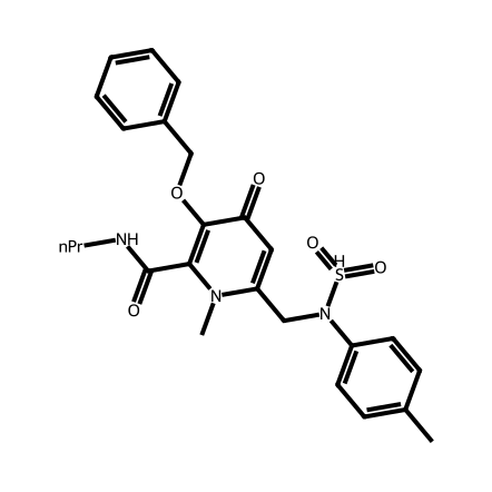 CCCNC(=O)c1c(OCc2ccccc2)c(=O)cc(CN(c2ccc(C)cc2)[SH](=O)=O)n1C